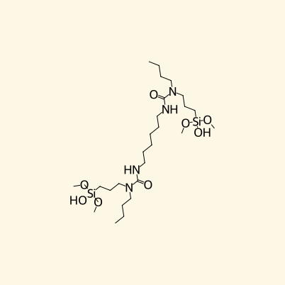 CCCCN(CCC[Si](O)(OC)OC)C(=O)NCCCCCCNC(=O)N(CCCC)CCC[Si](O)(OC)OC